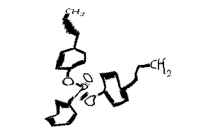 C=CCc1ccc(OP(=O)(Oc2ccc(CC=C)cc2)c2ccccc2)cc1